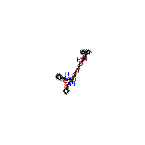 O=C(COC1C#CCCCCC1)NCCN(CCNC(=O)COC1C#CCCCCC1)C(=O)CCOCCOCCOCCOCCNC(=O)OCC1c2ccccc2-c2ccccc21